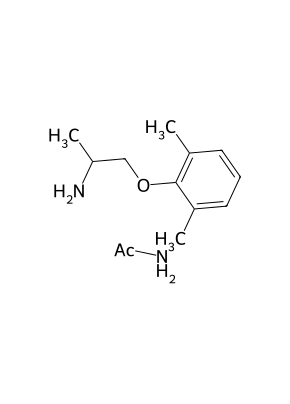 CC(N)=O.Cc1cccc(C)c1OCC(C)N